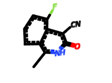 Cc1[nH]c(=O)c(C#N)c2c(F)cccc12